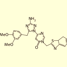 COc1ccc(Cc2nc(N)nn2-c2cc(=O)n(CC3=NC4=CC=CCC4S3)cn2)cc1OC